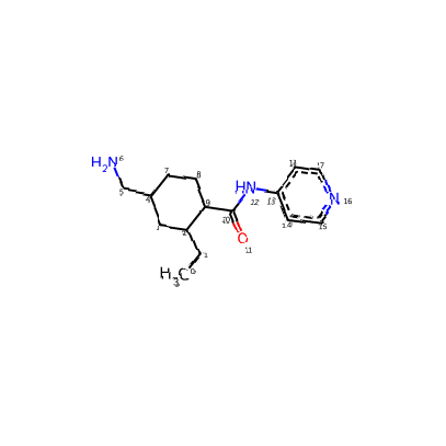 CCC1CC(CN)CCC1C(=O)Nc1ccncc1